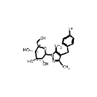 CCc1ccc(Cc2c(C)nn(C3O[C@H](CO)[C@@H](O)[C@H](O)[C@H]3O)c2C)cc1